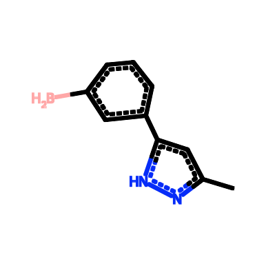 Bc1cccc(-c2cc(C)n[nH]2)c1